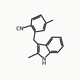 [C-]#[N+]c1ccc(C)cc1Cc1c(C)[nH]c2ccccc12